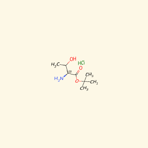 CC(O)[C@H](N)C(=O)OC(C)(C)C.Cl